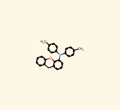 Cc1ccc(N(c2ccc(C)cc2)c2cccc3c2Oc2ccccc2C3)cc1